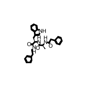 C[C@H](NC(=O)Cc1ccccc1)C(=O)N[C@H](Cc1c[nH]c2ccccc12)C(=O)NCCc1ccccc1